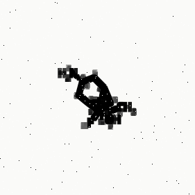 CB(O)N1C2C[C@@H](N)CC1C(F)(F)C2